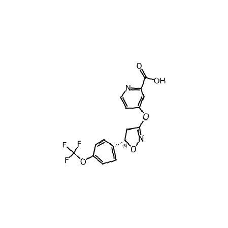 O=C(O)c1cc(OC2=NO[C@H](c3ccc(OC(F)(F)F)cc3)C2)ccn1